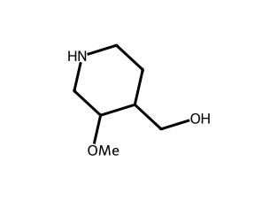 COC1CNCCC1CO